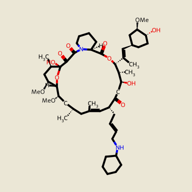 CO[C@H]1C[C@@H](C)C/C(C)=C/[C@@H](C/C=C/CNC2CCCCC2)C(=O)C[C@H](O)[C@@H](C)[C@@H](/C(C)=C/[C@@H]2CC[C@@H](O)[C@H](OC)C2)OC(=O)[C@@H]2CCCCN2C(=O)C(=O)[C@]2(O)O[C@H]1[C@@H](OC)C[C@H]2C